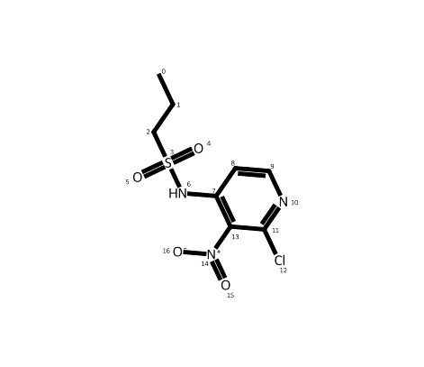 CCCS(=O)(=O)Nc1ccnc(Cl)c1[N+](=O)[O-]